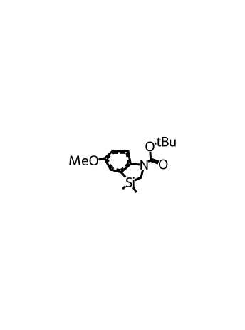 COc1ccc2c(c1)[Si](C)(C)CN2C(=O)OC(C)(C)C